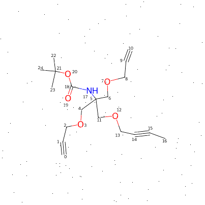 C#CCOCC(COCC#C)(COCC#CC)NC(=O)OC(C)(C)C